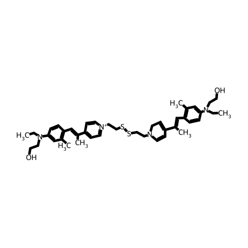 CCN(CCO)c1ccc(/C=C(\C)C2=CCN(CCSSCC[n+]3ccc(/C(C)=C/c4ccc(N(CC)CCO)cc4C)cc3)C=C2)c(C)c1